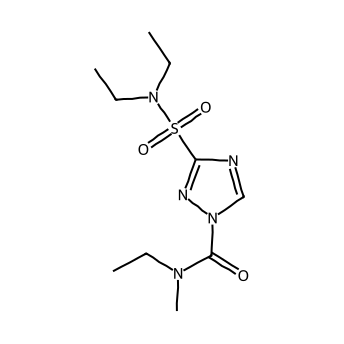 CCN(C)C(=O)n1cnc(S(=O)(=O)N(CC)CC)n1